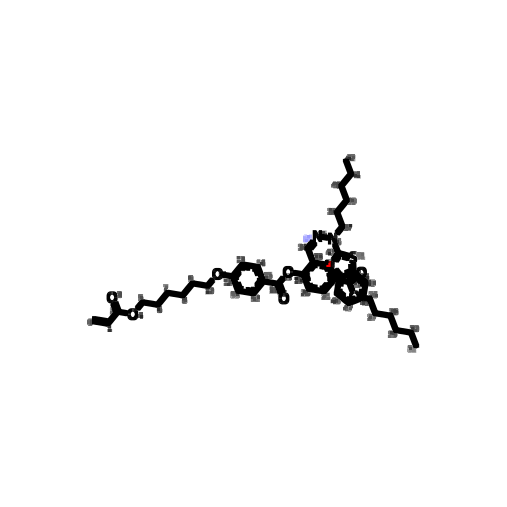 C=CC(=O)OCCCCCCOc1ccc(C(=O)Oc2ccc(C(=O)OCCCCCC)cc2/C=N\N(CCCCCC)c2nc3ccccc3s2)cc1